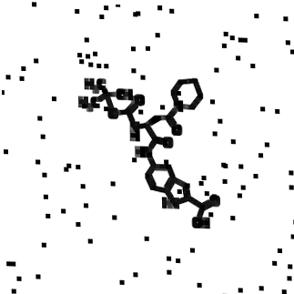 CC(C)(C)OC(=O)N[C@@H](CC(=O)N1CCCCC1)C(=O)Nc1ccc2[nH]c(C(=O)O)cc2c1